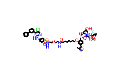 Cc1ncsc1-c1ccc(CNC(=O)[C@@H]2C[C@@H](O)CN2C(=O)C(NC(=O)C2(F)CC2)C(C)(C)C)c(OCCCCCCCC(=O)NCCOCCNS(=O)(=O)c2ccc(Nc3ncc(Cl)c(-c4cccc(-c5ccccc5)c4)n3)cc2)c1